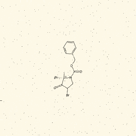 CC(C)[C@@]1(C)C(=O)C(Br)CN1C(=O)OCc1ccccc1